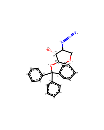 [N-]=[N+]=NC1COC[C@@H](OC(c2ccccc2)(c2ccccc2)c2ccccc2)[C@@H]1O